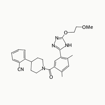 COCCOc1nnc(-c2cc(C(=O)N3CCC(c4ccccc4C#N)CC3)c(C)cc2C)[nH]1